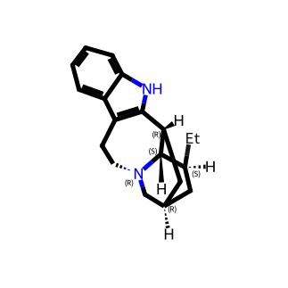 CC[C@H]1C[C@@H]2C[C@H]3c4[nH]c5ccccc5c4CC[N@@](C2)[C@@H]13